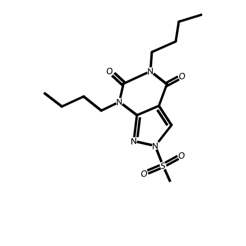 CCCCn1c(=O)c2cn(S(C)(=O)=O)nc2n(CCCC)c1=O